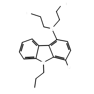 Nc1ccc(N(CCO)CCO)c2c3ccccc3n(CCO)c12